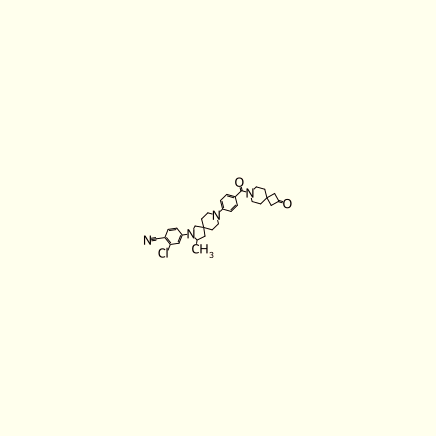 CC1CC2(CCN(c3ccc(C(=O)N4CCC5(CC4)CC(=O)C5)cc3)CC2)CN1c1ccc(C#N)c(Cl)c1